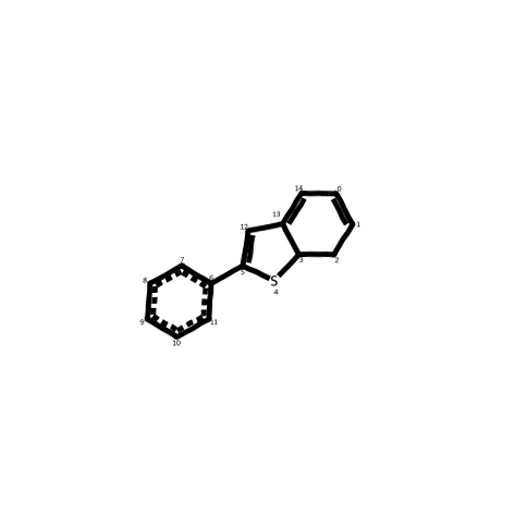 C1=CCC2SC(c3ccccc3)=CC2=C1